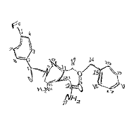 CC(c1ccc(F)cc1)n1nc(COCc2ccccc2)c(C(N)=O)c1N